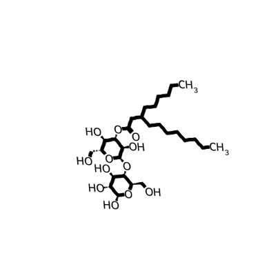 CCCCCCCCC(CCCCCC)CC(=O)O[C@@H]1[C@@H](O)[C@@H](O[C@H]2[C@H](O)[C@@H](O)[C@H](O)O[C@@H]2CO)O[C@H](CO)[C@H]1O